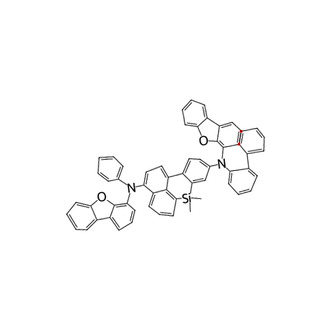 C[Si]1(C)c2cc(N(c3ccccc3-c3ccccc3)c3cccc4c3oc3ccccc34)ccc2-c2ccc(N(c3ccccc3)c3cccc4c3oc3ccccc34)c3cccc1c23